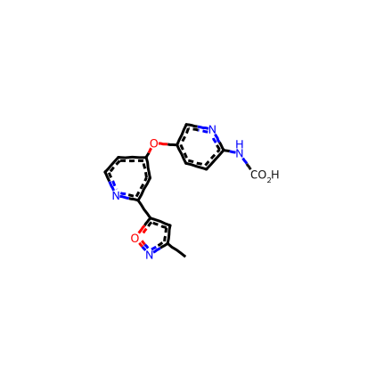 Cc1cc(-c2cc(Oc3ccc(NC(=O)O)nc3)ccn2)on1